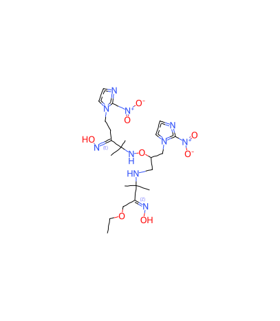 CCOC/C(=N\O)C(C)(C)NCC(Cn1ccnc1[N+](=O)[O-])ONC(C)(C)/C(CCn1ccnc1[N+](=O)[O-])=N/O